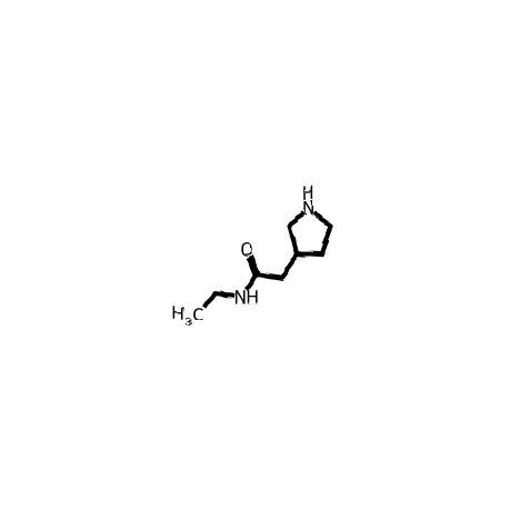 CCNC(=O)CC1CCNC1